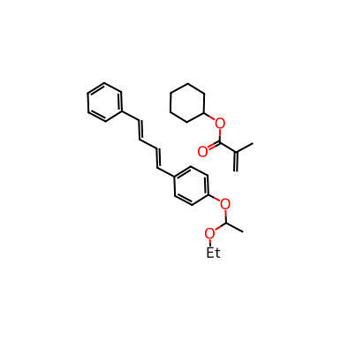 C=C(C)C(=O)OC1CCCCC1.CCOC(C)Oc1ccc(C=CC=Cc2ccccc2)cc1